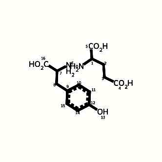 NC(CCC(=O)O)C(=O)O.NC(Cc1ccc(O)cc1)C(=O)O